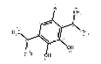 CC(C)c1cc(Br)c(C(C)C)c(O)c1O